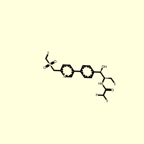 O=C(N[C@H](CF)[C@H](O)c1ccc(-c2ccc(CS(=O)(=O)CF)nc2)cc1)C(F)F